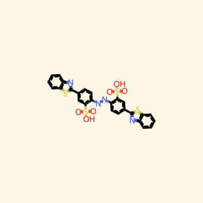 O=S(=O)(O)c1cc(-c2nc3ccccc3s2)ccc1N=Nc1ccc(-c2nc3ccccc3s2)cc1S(=O)(=O)O